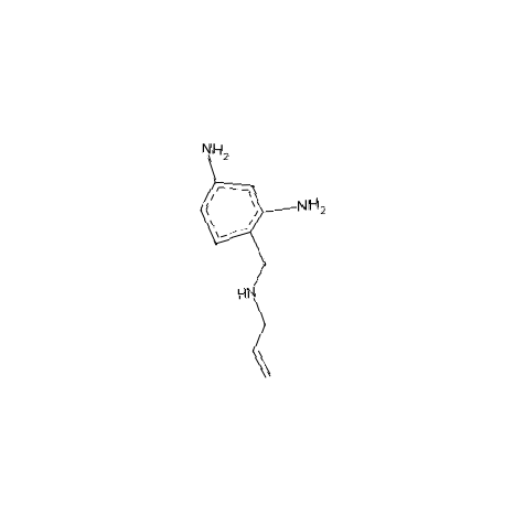 C=CCNCc1ccc(N)cc1N